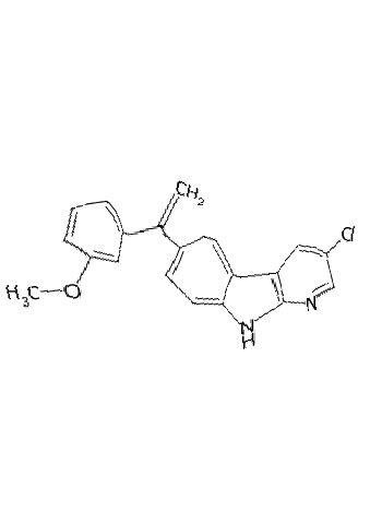 C=C(c1cccc(OC)c1)c1ccc2[nH]c3ncc(Cl)cc3c2c1